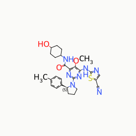 COc1c(Nc2ncc(C#N)s2)nc(N2CCC[C@H]2c2ccc(C)cc2)nc1C(=O)NC1CCC(O)CC1